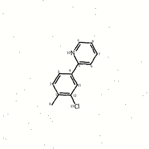 Cc1ccc(-c2ccccn2)cc1Cl